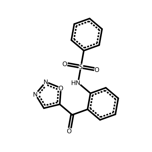 O=C(c1cnno1)c1ccccc1NS(=O)(=O)c1ccccc1